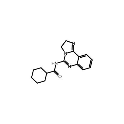 O=C(NC1=Nc2ccccc2C2=NCCN12)C1CCCCC1